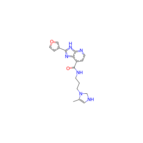 CC1=CNCN1CCCNC(=O)c1ccnc2[nH]c(-c3ccoc3)nc12